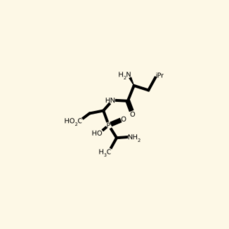 CC(C)C[C@H](N)C(=O)NC(CC(=O)O)P(=O)(O)C(C)N